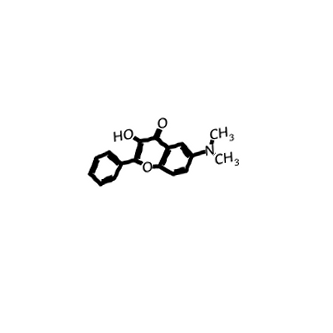 CN(C)c1ccc2oc(-c3ccccc3)c(O)c(=O)c2c1